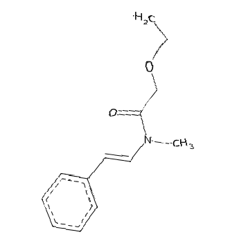 [CH2]COCC(=O)N(C)C=Cc1ccccc1